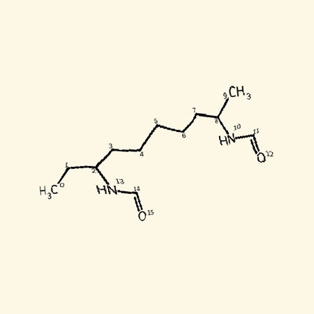 CCC(CCCCCC(C)NC=O)NC=O